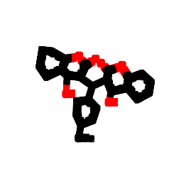 COc1ccc(C(c2c(O)c3ccccc3oc2=O)c2c(O)c3ccccc3oc2=O)cc1